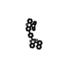 c1ccc2c(c1)N=C(c1ccc(-c3ccc4c(c3)C3(c5ccccc5O4)c4ccccc4-c4ccccc43)cc1)NC2c1cccc2ccccc12